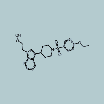 CCOc1ccc(S(=O)(=O)N2CCC(c3cn(CCOO)c4ncccc34)CC2)cn1